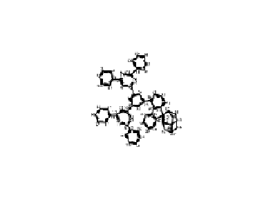 c1ccc(-c2cc(-c3cc(-c4cc(-c5ccccc5)nc(-c5ccccc5)n4)cc(-c4cccc5c4-c4ccccc4C54C5CC6CC(C5)CC4C6)c3)nc(-c3ccccc3)n2)cc1